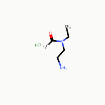 Cl.NCCN(CC(F)(F)F)C(=O)C(F)(F)F